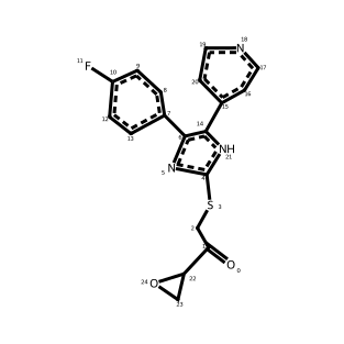 O=C(CSc1nc(-c2ccc(F)cc2)c(-c2ccncc2)[nH]1)C1CO1